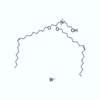 CCCCCCCC/C=C\CCCCCCCCOCC(C[N+](C)(C)CCCO)OCCCCCCCC/C=C\CCCCCCCC.[Br-]